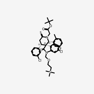 Cc1ccc(F)cc1[C@H]1N(CC(=O)OC(C)(C)C)C(=S)C[C@@H](c2cccc(Cl)c2)[C@]12C(=O)N(COCC[Si](C)(C)C)c1cc(Cl)ccc12